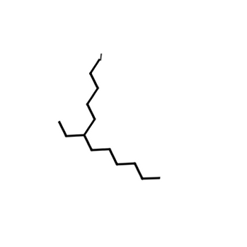 CCCCCCC(CC)CCCCI